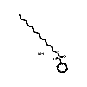 CCCCCCCCCCCCOS(=O)(=O)c1ccccc1.[RbH]